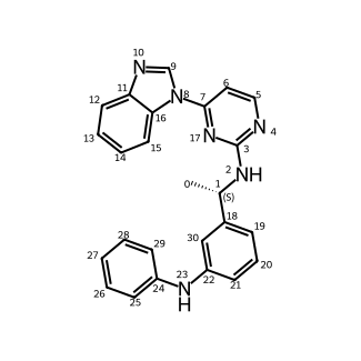 C[C@H](Nc1nccc(-n2cnc3ccccc32)n1)c1cccc(Nc2ccccc2)c1